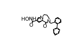 O=C(NO)c1cc2n(c1)CCCN(Cc1ccccc1-c1ccccc1)C2=O